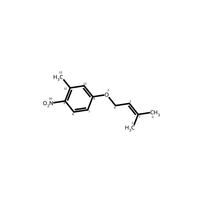 CC(C)=CCOc1ccc([N+](=O)[O-])c(C)c1